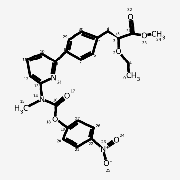 CCO[C@@H](Cc1ccc(-c2cccc(N(C)C(=O)Oc3ccc([N+](=O)[O-])cc3)n2)cc1)C(=O)OC